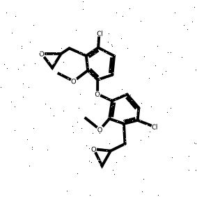 COc1c(Oc2ccc(Cl)c(CC3CO3)c2OC)ccc(Cl)c1CC1CO1